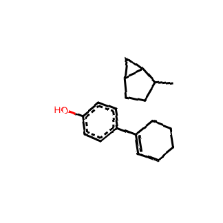 CC1CCC2CC12.Oc1ccc(C2=CCCCC2)cc1